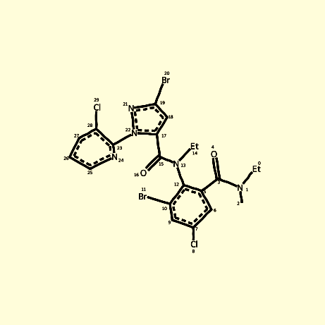 CCN(C)C(=O)c1cc(Cl)cc(Br)c1N(CC)C(=O)c1cc(Br)nn1-c1ncccc1Cl